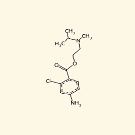 CC(C)N(C)CCOC(=O)c1ccc(N)cc1Cl